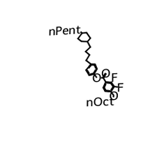 CCCCCCCCOc1ccc(C(=O)Oc2ccc(CCCCC3CCC(CCCCC)CC3)cc2)c(F)c1F